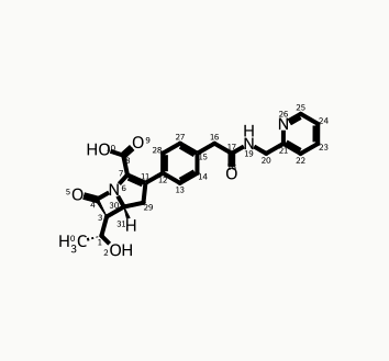 C[C@@H](O)[C@H]1C(=O)N2C(C(=O)O)=C(c3ccc(CC(=O)NCc4ccccn4)cc3)C[C@H]12